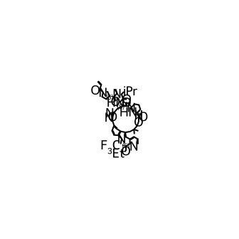 C=CC(=O)N1CC[C@H](C(=O)N(C)C(C(=O)N[C@H]2Cc3nnc(o3)-c3ccc4c(c3)c(c(-c3cccnc3[C@H](C)OCC)n4CC(F)(F)F)CC(C)(C)COC(=O)[C@@H]3CCCN(N3)C2=O)C(C)C)C1